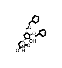 O=c1ccn([C@@H]2C[C@H](COCc3ccccc3)[C@@H](OCc3ccccc3)[C@H]2O)c(=O)[nH]1